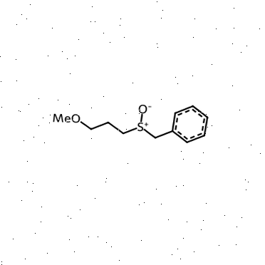 COCCC[S+]([O-])Cc1ccccc1